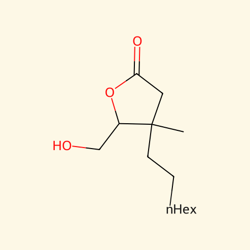 CCCCCCCCC1(C)CC(=O)OC1CO